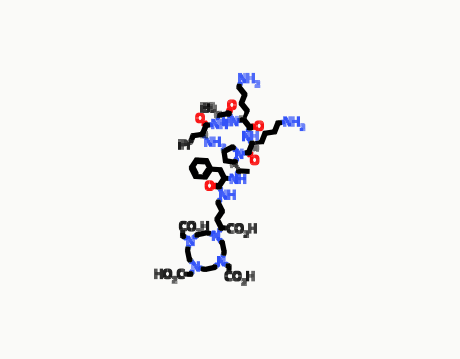 CC[C@H](C)[C@H](NC(=O)[C@@H](N)CC(C)C)C(=O)N[C@@H](CCCCN)C(=O)N[C@@H](CCCCN)C(=O)N1CCC[C@H]1C(C)NC(Cc1ccccc1)C(=O)NCCCC(C(=O)O)N1CCN(CC(=O)O)CCN(CC(=O)O)CCN(CC(=O)O)CC1